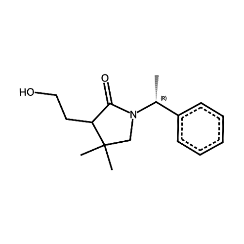 C[C@H](c1ccccc1)N1CC(C)(C)C(CCO)C1=O